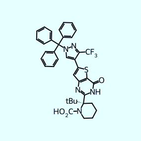 CC(C)(C)[C@]1(c2nc3cc(-c4cn(C(c5ccccc5)(c5ccccc5)c5ccccc5)nc4C(F)(F)F)sc3c(=O)[nH]2)CCCCN1C(=O)O